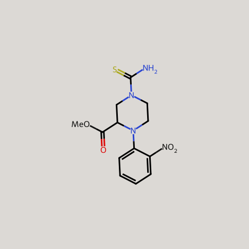 COC(=O)C1CN(C(N)=S)CCN1c1ccccc1[N+](=O)[O-]